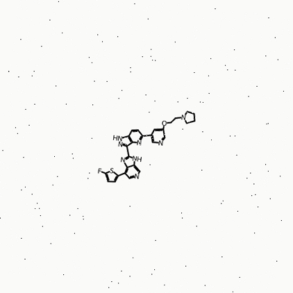 Fc1ccc(-c2cncc3[nH]c(-c4n[nH]c5ccc(-c6cncc(OCCN7CCCC7)c6)nc45)nc23)s1